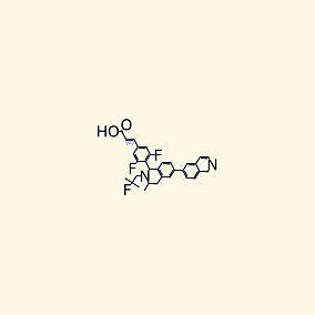 CC1Cc2cc(-c3ccc4cnccc4c3)ccc2C(c2c(F)cc(/C=C/C(=O)O)cc2F)N1CC(C)(C)F